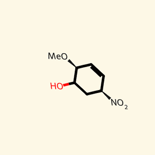 CO[C@H]1C=C[C@@H]([N+](=O)[O-])CC1O